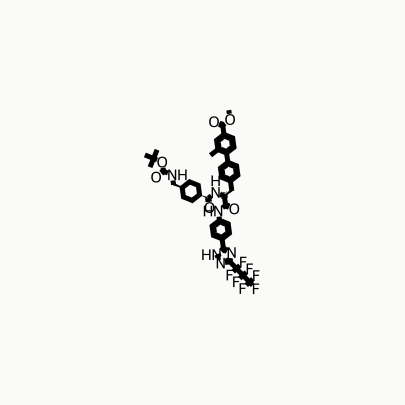 COC(=O)c1ccc(-c2ccc(C[C@H](NC(=O)[C@H]3CC[C@H](CNC(=O)OC(C)(C)C)CC3)C(=O)Nc3ccc(-c4nc(C(F)(F)C(F)(F)C(F)(F)F)n[nH]4)cc3)cc2)c(C)c1